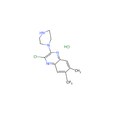 Cc1cc2nc(Cl)c(N3CCNCC3)nc2cc1C.Cl